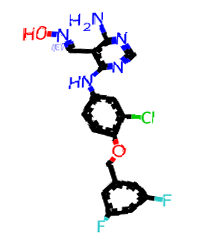 Nc1ncnc(Nc2ccc(OCc3cc(F)cc(F)c3)c(Cl)c2)c1/C=N/O